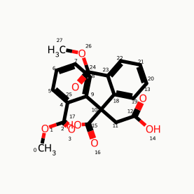 COC(=O)c1ccccc1C(CC(=O)O)(C(=O)O)c1ccccc1C(=O)OC